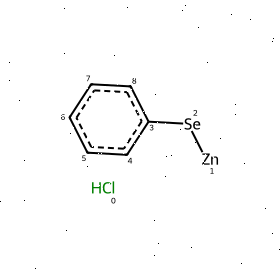 Cl.[Zn][Se]c1ccccc1